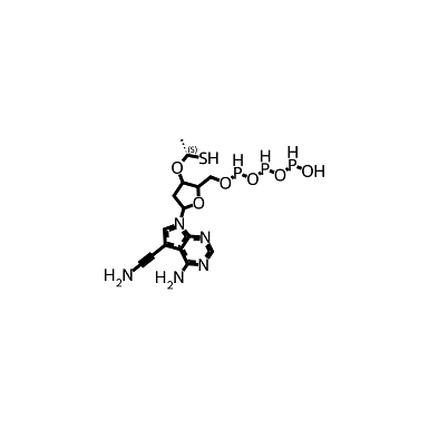 C[C@H](S)OC1CC(n2cc(C#CN)c3c(N)ncnc32)OC1COPOPOPO